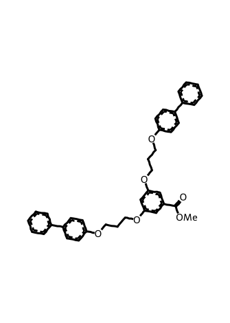 COC(=O)c1cc(OCCCOc2ccc(-c3ccccc3)cc2)cc(OCCCOc2ccc(-c3ccccc3)cc2)c1